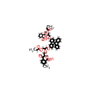 C=CC(=O)OCC(COc1ccc(C2(c3ccc(OCC(COC(=O)C=C)OC(=O)C4CC=CCC4C(=O)O)cc3)c3ccccc3-c3ccccc32)cc1)OCCC(=O)c1ccc(C)cc1C(=O)O